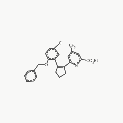 CCOC(=O)c1cc(C(F)(F)F)cc(C2=C(c3cc(Cl)ccc3OCc3ccccc3)CCC2)n1